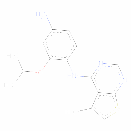 Cc1csc2ncnc(Nc3ccc(N)cc3OC(C)C)c12